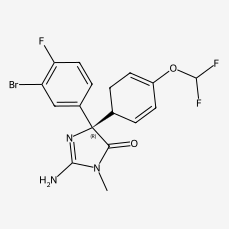 CN1C(=O)[C@](c2ccc(F)c(Br)c2)(C2C=CC(OC(F)F)=CC2)N=C1N